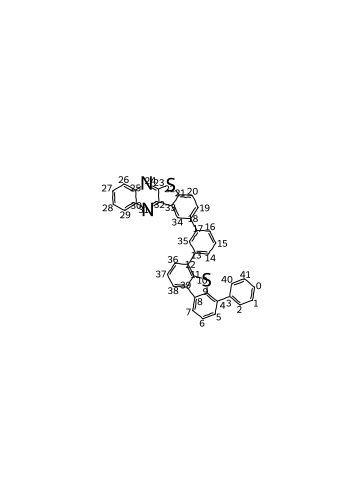 c1ccc(-c2cccc3c2sc2c(-c4cccc(-c5ccc6sc7nc8ccccc8nc7c6c5)c4)cccc23)cc1